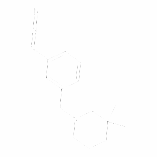 CC1(C)CCCN(Cc2cccc(N=[N+]=[N-])c2)C1